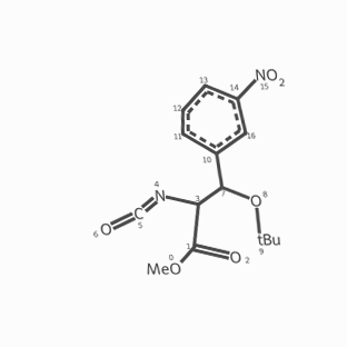 COC(=O)C(N=C=O)C(OC(C)(C)C)c1cccc([N+](=O)[O-])c1